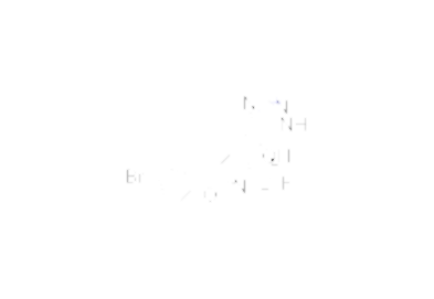 OC1(c2ccc(Oc3ccc(Br)cc3)nc2C(F)(F)F)C/C=N/C=N\NC1